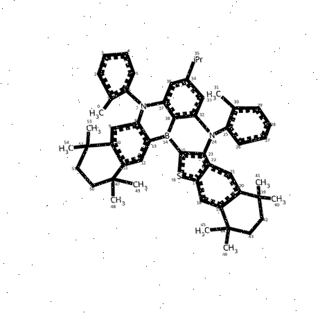 Cc1ccccc1N1c2cc3c(cc2B2c4sc5cc6c(cc5c4N(c4ccccc4C)c4cc(C(C)C)cc1c42)C(C)(C)CCC6(C)C)C(C)(C)CCC3(C)C